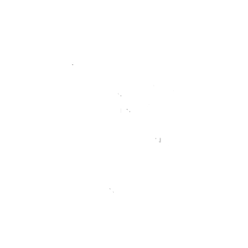 N#Cc1ccc(NC(=O)C2(c3ccc(Br)cn3)CCC2)c(N)c1